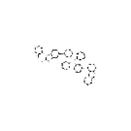 c1ccc([Si](c2ccccc2)(c2cccc(-c3ccc4c(c3)nc3n4-c4ccccc4SC3)c2)c2cccc(-c3cccc4sc5ccccc5c34)c2)cc1